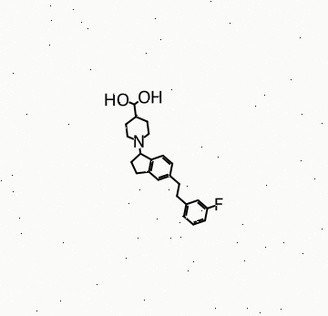 OC(O)C1CCN(C2CCc3cc(CCc4cccc(F)c4)ccc32)CC1